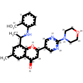 Cc1cc(C(C)Nc2ccccc2C(=O)O)c2oc(-c3cnc(N4CCOCC4)nc3)cc(=O)c2c1